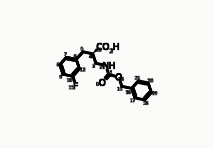 O=C(NC[C@H](Cc1cccc(F)c1)C(=O)O)OCc1ccccc1